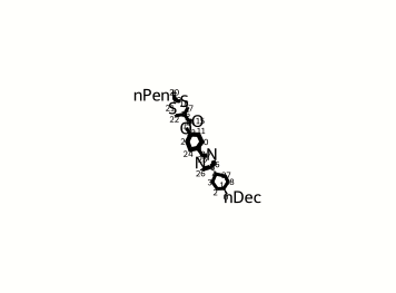 CCCCCCCCCC[C@H]1CC[C@H](c2cnc(-c3ccc(OC(=O)C4CSC(CCCCC)SC4)cc3)nc2)CC1